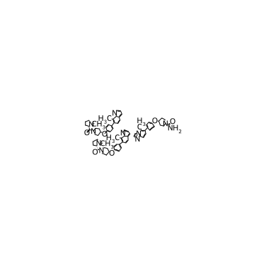 Cc1c(-c2ccc(OC3CCN(C(=O)[C@@H]4CCCN4C)CC3)cc2)ccc2cccnc12.Cc1c(-c2ccc(OC3CCN(C(=O)[C@H]4CCCN4C)CC3)cc2)ccc2cccnc12.Cc1c(-c2ccc(OC3CCN(C(N)=O)CC3)cc2)ccc2nccn12